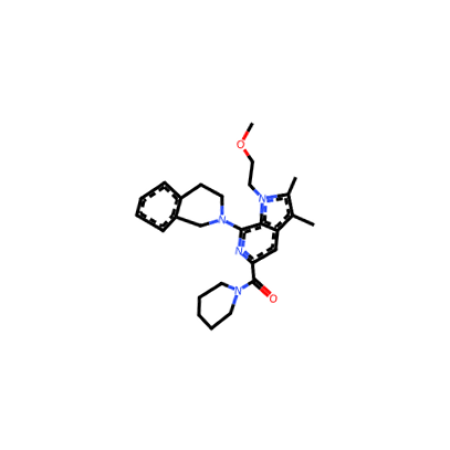 COCCn1c(C)c(C)c2cc(C(=O)N3CCCCC3)nc(N3CCc4ccccc4C3)c21